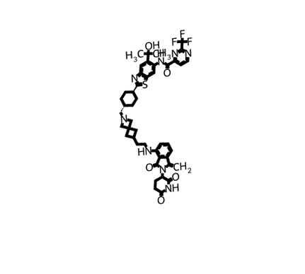 C=C1c2cccc(NCCC3CC4(C3)CN(C[C@H]3CC[C@H](c5nc6cc(C(C)(C)O)c(NC(=O)c7ccnc(C(F)(F)F)n7)cc6s5)CC3)C4)c2C(=O)N1C1CCC(=O)NC1=O